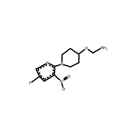 NCOC1CCN(c2ncc(F)cc2[N+](=O)[O-])CC1